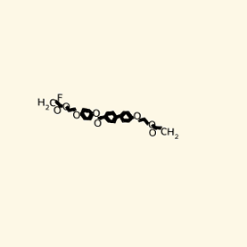 C=CC(=O)OCCCOc1ccc(-c2ccc(C(=O)Oc3ccc(OCCOC(=O)C(=C)F)cc3)cc2)cc1